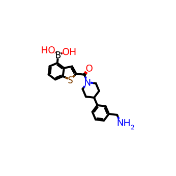 NCc1cccc(C2CCN(C(=O)c3cc4c(B(O)O)cccc4s3)CC2)c1